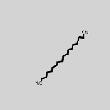 N#C/C=C/CCCCCCCCCCCCCCC#N